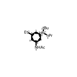 CCCNC(C)(C)C.CCc1cccc(NC(C)=O)c1